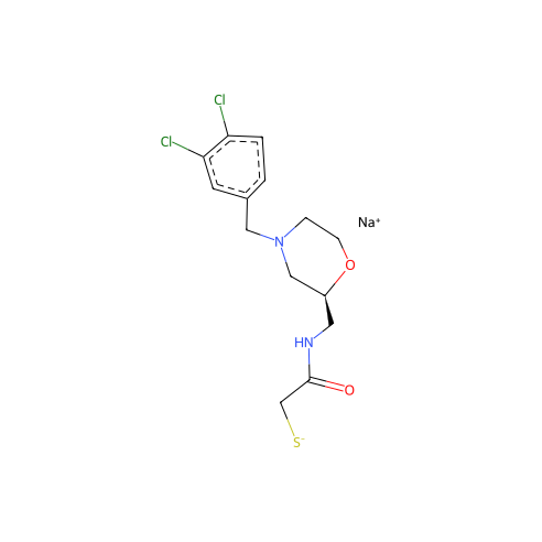 O=C(C[S-])NC[C@H]1CN(Cc2ccc(Cl)c(Cl)c2)CCO1.[Na+]